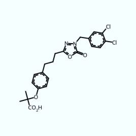 CC(C)(Oc1ccc(CCCc2nn(Cc3ccc(Cl)c(Cl)c3)c(=O)o2)cc1)C(=O)O